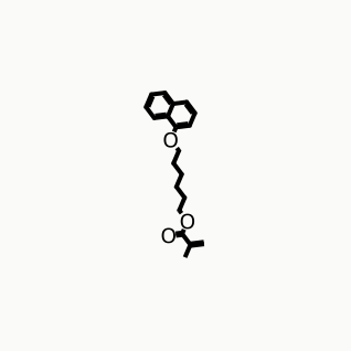 C=C(C)C(=O)OCCCCCCOc1cccc2ccccc12